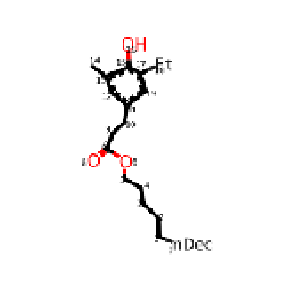 CCCCCCCCCCCCCCCOC(=O)CCc1cc(C)c(O)c(CC)c1